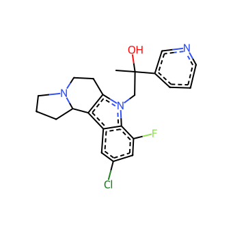 CC(O)(Cn1c2c(c3cc(Cl)cc(F)c31)C1CCCN1CC2)c1cccnc1